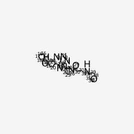 Nc1ncnc2c1c(-c1ccc(Oc3ccccc3)cc1)nn2[C@@H]1CCCN(C(=O)/C=C/CNC2CCOCC2)C1